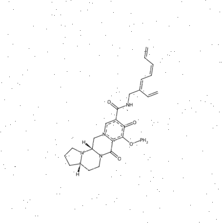 C=C/C=C\C=C(/C=C)CNC(=O)c1cn2c(c(OP)c1=O)C(=O)N1CC[C@@H]3CCCN3[C@@H]1C2